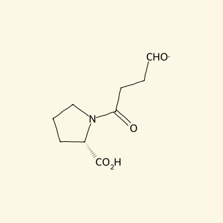 O=[C]CCC(=O)N1CCC[C@H]1C(=O)O